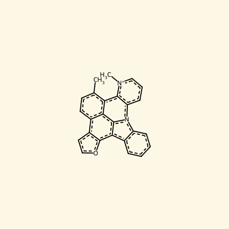 Cc1ccc2c3ccoc3c3c4ccccc4n4c5ccc[n+](C)c5c1c2c34